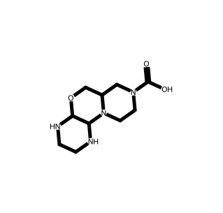 O=C(O)N1CCN2C(COC3NCCNC32)C1